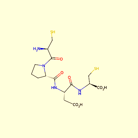 N[C@@H](CS)C(=O)N1CCC[C@H]1C(=O)N[C@@H](CC(=O)O)C(=O)N[C@@H](CS)C(=O)O